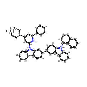 C/C=C\C(=C/C)c1cc(-c2ccccc2)nc(-n2c3ccccc3c3ccc(-c4ccc5c(c4)c4ccccc4n5-c4cccc5ccccc45)cc32)c1